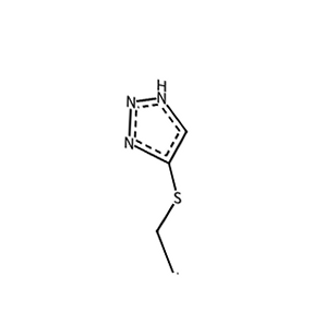 [CH2]CSc1c[nH]nn1